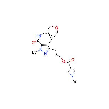 CCn1nc(CCCOC(=O)C2CN(C(C)=O)C2)c2c1C(=O)NCC1(CCOCC1)C2